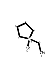 N#CCS1(Br)CCCC1